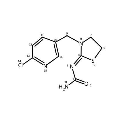 NC(=O)N=C1SCCN1Cc1ccc(Cl)nc1